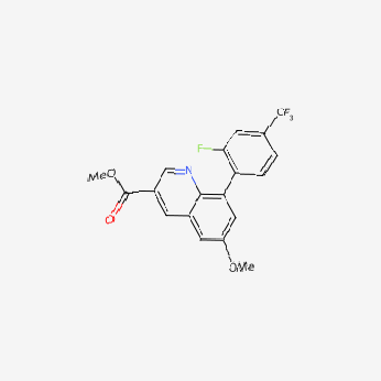 COC(=O)c1cnc2c(-c3ccc(C(F)(F)F)cc3F)cc(OC)cc2c1